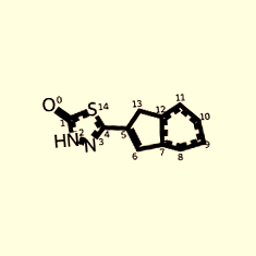 O=c1[nH]nc(C2=Cc3ccccc3C2)s1